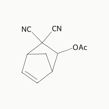 CC(=O)OC1C2C=CC(C2)C1(C#N)C#N